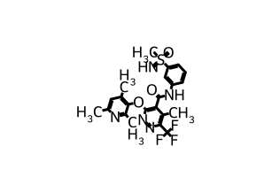 Cc1cc(C)c(Oc2nnc(C(F)(F)F)c(C)c2C(=O)Nc2cccc(S(C)(=N)=O)c2)c(C)n1